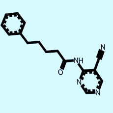 N#Cc1cncnc1NC(=O)CCCCc1ccccc1